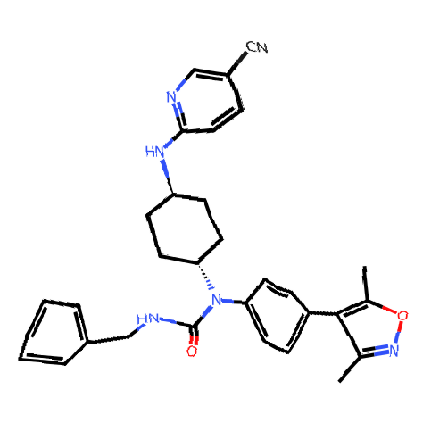 Cc1noc(C)c1-c1ccc(N(C(=O)NCc2ccccc2)[C@H]2CC[C@H](Nc3ccc(C#N)cn3)CC2)cc1